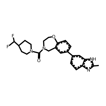 Cc1nc2ccc(-c3ccc4c(c3)CN(C(=O)N3CCC(C(F)F)CC3)CCO4)cc2[nH]1